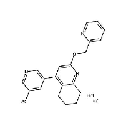 CC(=O)c1cncc(-c2cc(OCc3ccccn3)nc3c2CCCC3)c1.Cl.Cl